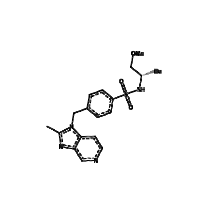 CCC(C)[C@@H](COC)NS(=O)(=O)c1ccc(Cn2c(C)nc3cnccc32)cc1